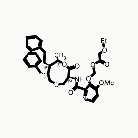 CCOCC(=O)OCOc1c(OC)ccnc1C(=O)N[C@H]1COC[C@H](Cc2ccccc2)[C@@H](CCc2ccccc2)[C@H](C)OC1=O